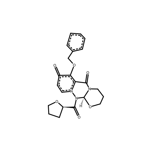 O=C1c2c(OCc3ccccc3)c(=O)ccn2N(C(=O)[C@H]2CCCO2)[C@@H]2OCCCN12